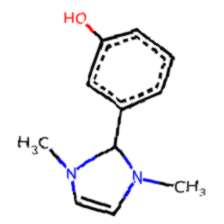 CN1C=CN(C)C1c1cccc(O)c1